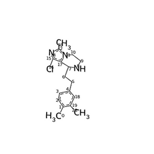 Cc1ccc(CCC2NCCn3c(C)nc(Cl)c32)cc1C